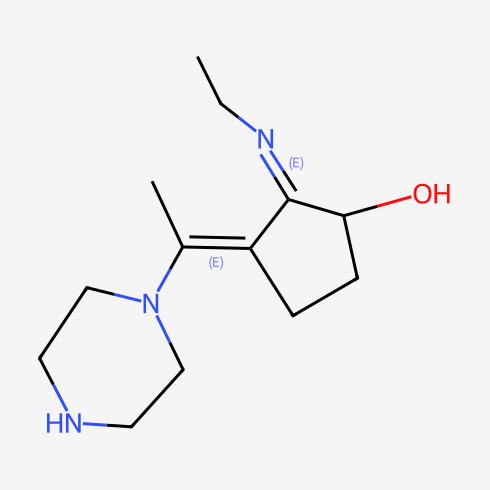 CC/N=C1\C(=C(/C)N2CCNCC2)CCC1O